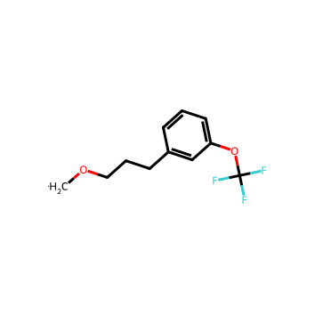 [CH2]OCCCc1cccc(OC(F)(F)F)c1